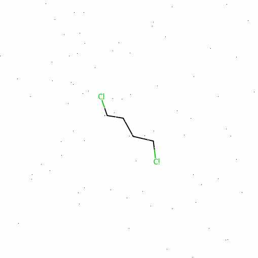 Cl[CH]CCCCl